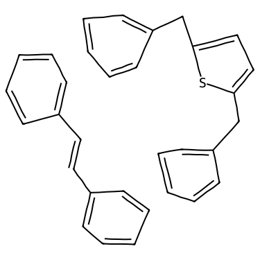 C(=Cc1ccccc1)c1ccccc1.c1ccc(Cc2ccc(Cc3ccccc3)s2)cc1